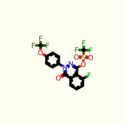 O=c1c2cccc(F)c2c(OS(=O)(=O)C(F)(F)F)nn1-c1ccc(OC(F)(F)F)cc1